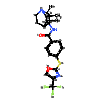 C[C@H]1[C@H](NC(=O)c2ccc(Sc3nc(C(F)(F)F)co3)cc2)C2CCN1CC2